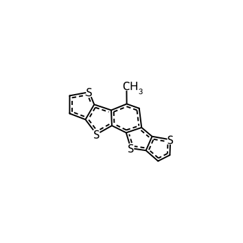 Cc1cc2c3sccc3sc2c2sc3ccsc3c12